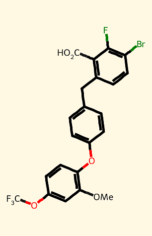 COc1cc(OC(F)(F)F)ccc1Oc1ccc(Cc2ccc(Br)c(F)c2C(=O)O)cc1